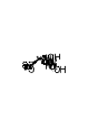 CC[C@H]1[C@@H](O)[C@@H]2[C@H](CC[C@]3(C)[C@@H]([C@H](C)CCCOC(=O)N(C)OC)CC[C@@H]23)[C@@]2(C)CC[C@@H](O)C[C@@H]12